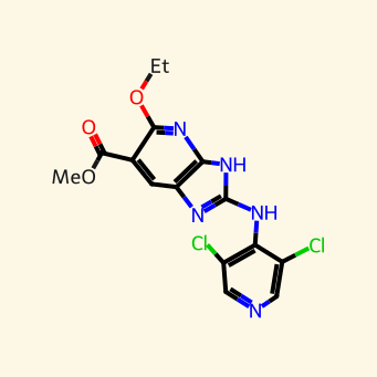 CCOc1nc2[nH]c(Nc3c(Cl)cncc3Cl)nc2cc1C(=O)OC